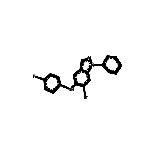 Fc1ccc(Nc2cc3cnn(-c4ccccc4)c3cc2Br)cc1